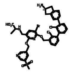 CC(NCc1cc(Br)c(OCc2cccc(-c3cccc(-c4ccc5c(c4)C[C@@H](N)C5)c3Cl)c2Cl)nc1OCc1cncc(S(C)(=O)=O)c1)C(=O)O